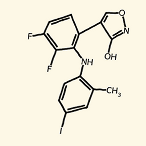 Cc1cc(I)ccc1Nc1c(-c2conc2O)ccc(F)c1F